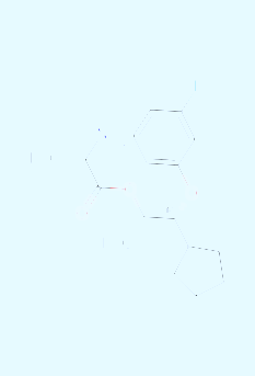 C[C@H](N)C(=O)O[C@@H](C)[C@H](Oc1cccc(F)c1)C1CCCC1